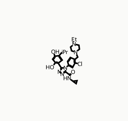 CCN1CCN(Cc2ccc(-n3c(C(=O)NC4CC4)nnc3-c3cc(C(C)C)c(O)cc3O)cc2Cl)CC1